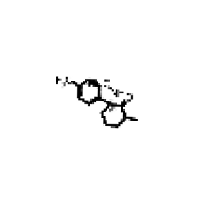 CC1CCC[C@@](NC(=O)O)(c2ccc(C(F)(F)F)cc2)C1=O